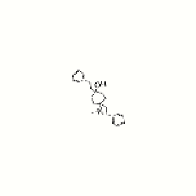 CN(C)C1(CCc2ccccc2)CCC(O)(CCc2ccccc2)CC1